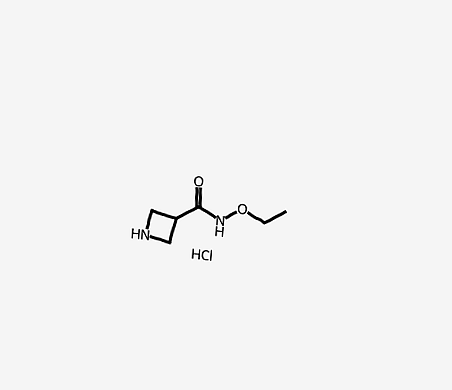 CCONC(=O)C1CNC1.Cl